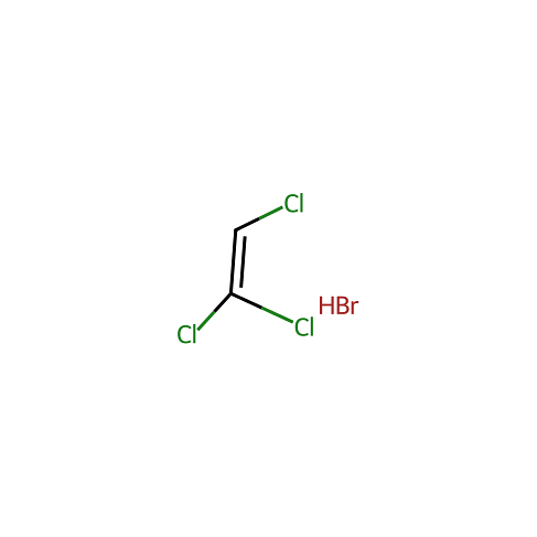 Br.ClC=C(Cl)Cl